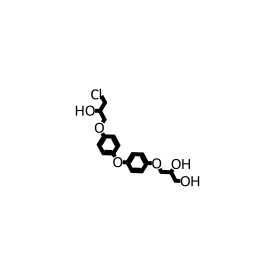 OCC(O)COc1ccc(Oc2ccc(OCC(O)CCl)cc2)cc1